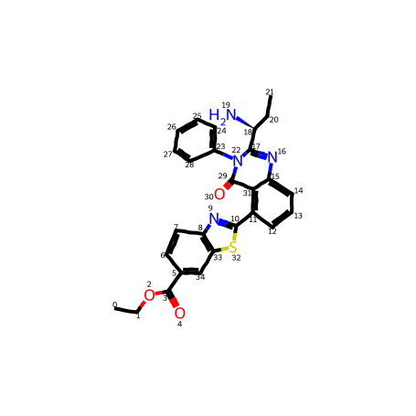 CCOC(=O)c1ccc2nc(-c3cccc4nc([C@@H](N)CC)n(-c5ccccc5)c(=O)c34)sc2c1